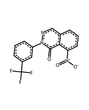 O=c1c2c([N+](=O)[O-])cccc2cnn1-c1cccc(C(F)(F)F)c1